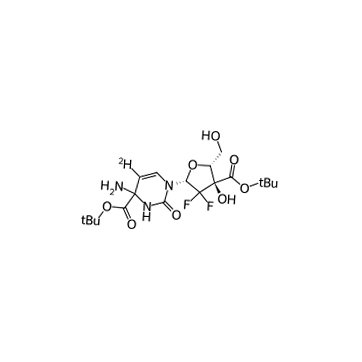 [2H]C1=CN([C@@H]2O[C@H](CO)[C@](O)(C(=O)OC(C)(C)C)C2(F)F)C(=O)NC1(N)C(=O)OC(C)(C)C